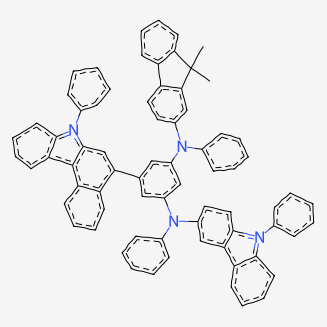 CC1(C)c2ccccc2-c2ccc(N(c3ccccc3)c3cc(-c4cc5c(c6ccccc46)c4ccccc4n5-c4ccccc4)cc(N(c4ccccc4)c4ccc5c(c4)c4ccccc4n5-c4ccccc4)c3)cc21